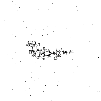 CC(=O)NC[C@H]1CN(c2cc(F)c(N3CCNN(C(=O)CCC(=O)O)CC3)c(F)c2)C(=O)O1